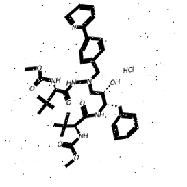 COC(=O)N[C@H](C(=O)N[C@@H](Cc1ccccc1)[C@@H](O)CN(Cc1ccc(-c2ccccn2)cc1)NC(=O)[C@@H](NC(=O)OC)C(C)(C)C)C(C)(C)C.Cl